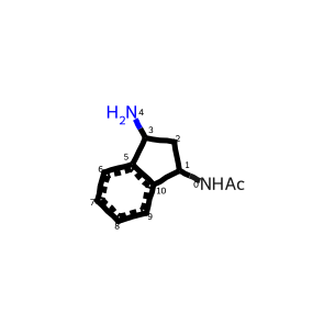 CC(=O)NC1CC(N)c2ccccc21